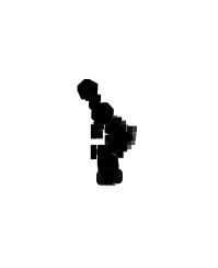 CS(=O)(=O)N1CCC(Nc2ncc(C(F)(F)F)c(-c3cn(-c4ccc(CCN5CCCC5)cc4C#N)cn3)n2)CC1